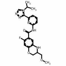 COCC1COc2cc(F)c(C(=O)Nc3cccc(-c4nncn4C(C)C)n3)cc2N1